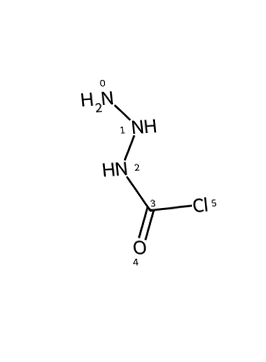 NNNC(=O)Cl